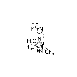 COc1nnc2c(C)c(C)c(N3CCc4ncc(C(F)(F)F)cc4C3)nn12